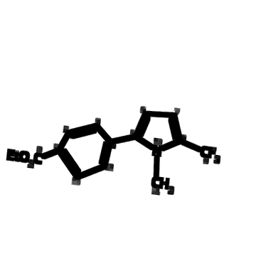 CCOC(=O)c1ccc(-c2ccc(C(F)(F)F)n2C)cc1